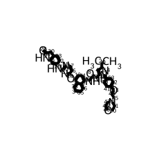 CC(C)c1cc(NC(=O)Nc2ccc(Oc3ccnc(Nc4ccc5c(c4)NC(=O)C5)n3)c3ccccc23)n(-c2ccc(OCCN3CCOCC3)cc2)n1